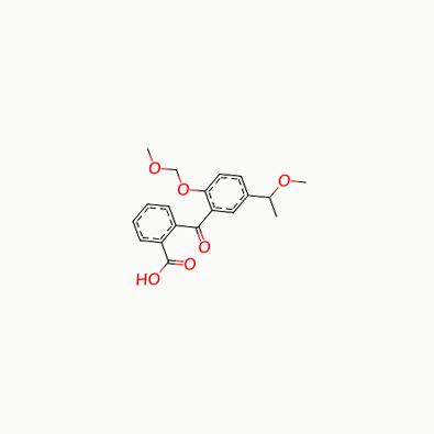 COCOc1ccc(C(C)OC)cc1C(=O)c1ccccc1C(=O)O